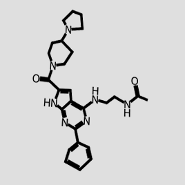 CC(=O)NCCNc1nc(-c2ccccc2)nc2[nH]c(C(=O)N3CCC(N4CCCC4)CC3)cc12